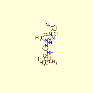 CCn1c(N2CCCC(NC(=O)OC(C)(C)C)C2)nc2nc(Cl)n(Cc3ccccc3C#N)c(=O)c21